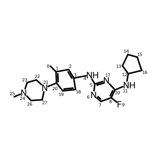 Cc1cc(Nc2ncc(F)c(NC3CCCC3)n2)ccc1N1CCN(C)CC1